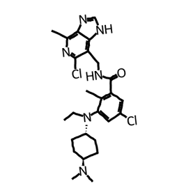 CCN(c1cc(Cl)cc(C(=O)NCc2c(Cl)nc(C)c3nc[nH]c23)c1C)[C@H]1CC[C@H](N(C)C)CC1